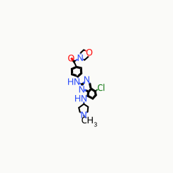 CN1CCC(Nc2ccc(Cl)c3cnc(Nc4ccc(C(=O)N5CCOCC5)cc4)nc23)CC1